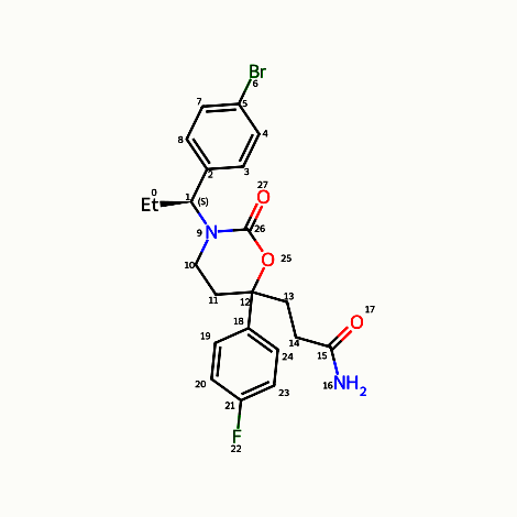 CC[C@@H](c1ccc(Br)cc1)N1CCC(CCC(N)=O)(c2ccc(F)cc2)OC1=O